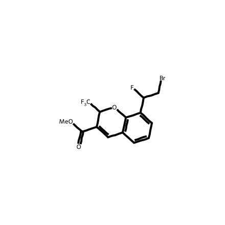 COC(=O)C1=Cc2cccc(C(F)CBr)c2OC1C(F)(F)F